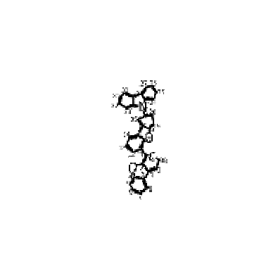 C1=c2c(oc3ccccc23)=C(c2cccc3c2oc2ccc(-n4c5ccccc5c5ccccc54)cc23)CC1